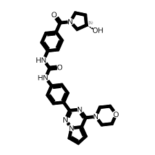 O=C(Nc1ccc(C(=O)N2CC[C@H](O)C2)cc1)Nc1ccc(-c2nc(N3CCOCC3)c3cccn3n2)cc1